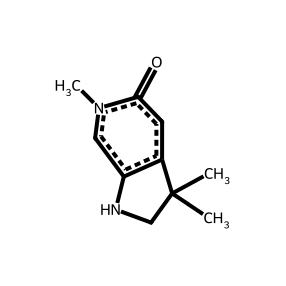 Cn1cc2c(cc1=O)C(C)(C)CN2